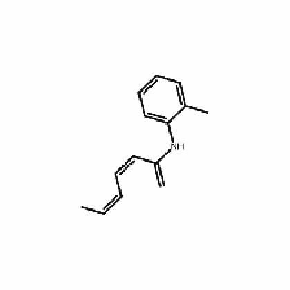 C=C(/C=C\C=C/C)Nc1ccccc1C